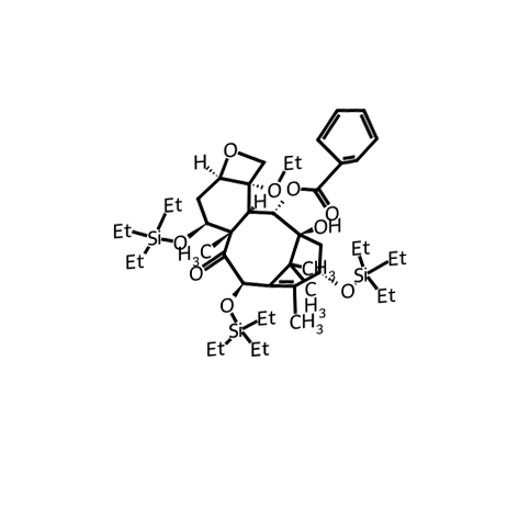 CCO[C@@]12CO[C@@H]1C[C@H](O[Si](CC)(CC)CC)[C@@]1(C)C(=O)[C@H](O[Si](CC)(CC)CC)C3=C(C)[C@@H](O[Si](CC)(CC)CC)C[C@@](O)([C@@H](OC(=O)c4ccccc4)[C@H]21)C3(C)C